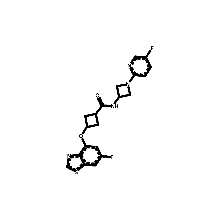 O=C(NC1CN(c2ccc(F)cn2)C1)C1CC(Oc2cc(F)cc3scnc23)C1